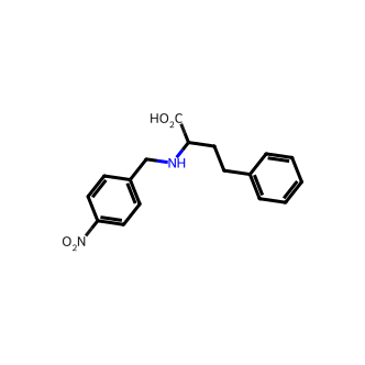 O=C(O)C(CCc1ccccc1)NCc1ccc([N+](=O)[O-])cc1